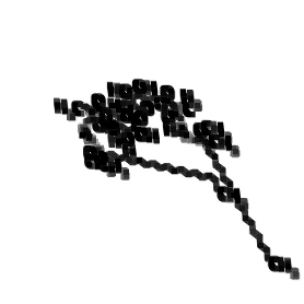 CCCCCCCCCCCCCCCCCC[C@@H](C)[C@@H](C[C@@H]1C[C@@H]1C[C@@H](O)[C@@H](CC)C(=O)OCC1OC(OC2OC(COC(=O)[C@H](CC)[C@H](O)C[C@H]3C[C@H]3C[C@@H](OC)[C@H](C)CCCCCCCCCCCCCCCCCC)C(O)C(O)C2O)C(O)C(O)C1O)OC